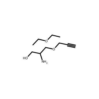 C#CCOCC(N)CO.CCOCC